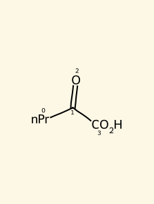 [CH2]CCC(=O)C(=O)O